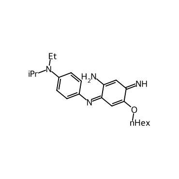 CCCCCCOC1=C/C(=N/c2ccc(N(CC)C(C)C)cc2)C(N)=CC1=N